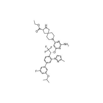 CCOC(=O)[C@@H]1CC2(CCN(c3cc(O[C@H](c4ccc(-c5cc(F)cc(OC(C)C)c5)cc4-n4ccc(C)n4)C(F)(F)F)nc(N)n3)CC2)CN1